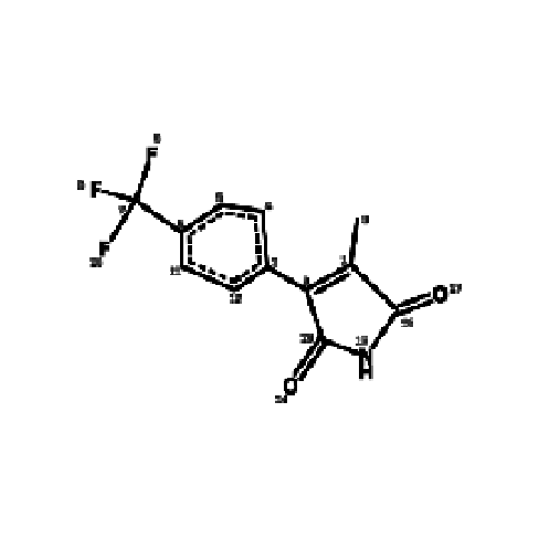 CC1=C(c2ccc(C(F)(F)F)cc2)C(=O)NC1=O